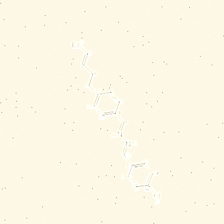 CC/C=C/CCc1ccc(C=NN=Cc2ccc(Cl)cc2)cc1